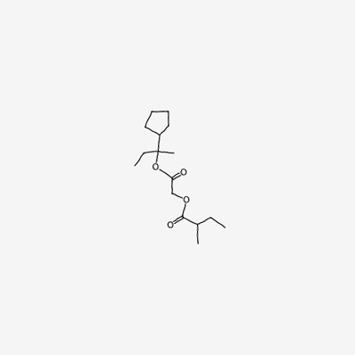 CCC(C)C(=O)OCC(=O)OC(C)(CC)C1CCCC1